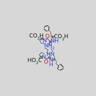 NCCCC[C@H](N[C@@H](CCc1ccccc1)CNCCCC[C@H](N[C@@H](CCc1ccccc1)C(=O)O)C(=O)N1CCC[C@H]1C(=O)O)C(=O)N1CCC[C@H]1C(=O)O